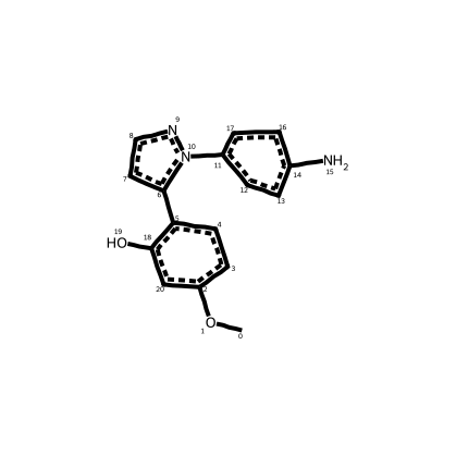 COc1ccc(-c2ccnn2-c2ccc(N)cc2)c(O)c1